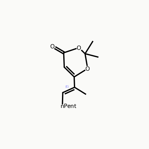 CCCCC/C=C(\C)C1=CC(=O)OC(C)(C)O1